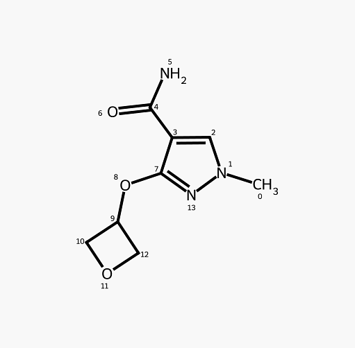 Cn1cc(C(N)=O)c(OC2COC2)n1